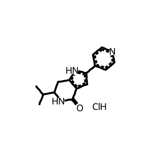 CC(C)C1Cc2[nH]c(-c3ccncc3)cc2C(=O)N1.Cl